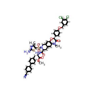 COC(=O)[C@H](Cc1ccc(-c2ccc(C#N)cc2)cc1)NC(=O)C1Cc2cc3c(cc2CN1S(=O)(=O)c1sc(N)nc1C)O[C@@H](c1ccc(OCc2ccc(Cl)c(Cl)c2)cc1)C(=O)N3C